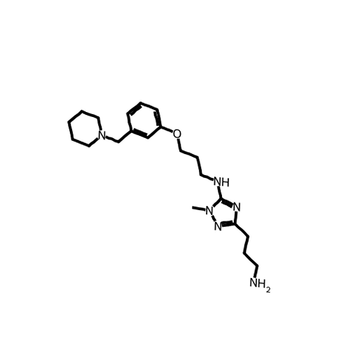 Cn1nc(CCCN)nc1NCCCOc1cccc(CN2CCCCC2)c1